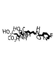 O=C(O)CC[C@H](NC(=O)N[C@@H](CCCCNC(=O)c1ccc(F)cn1)C(=O)O)C(=O)O